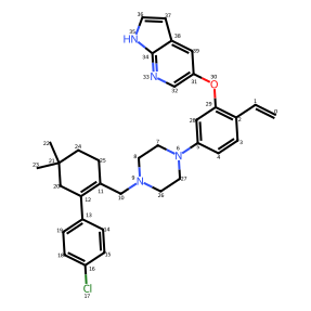 C=Cc1ccc(N2CCN(CC3=C(c4ccc(Cl)cc4)CC(C)(C)CC3)CC2)cc1Oc1cnc2[nH]ccc2c1